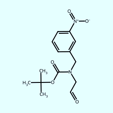 CC(C)(C)OC(=O)N(CC=O)Cc1cccc([N+](=O)[O-])c1